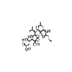 CCCC(=O)N[C@@H](CC(C)C)C(=O)N[C@H](C(=O)N[C@H](C(=O)O)C(O)CC(=O)O)C(C)C